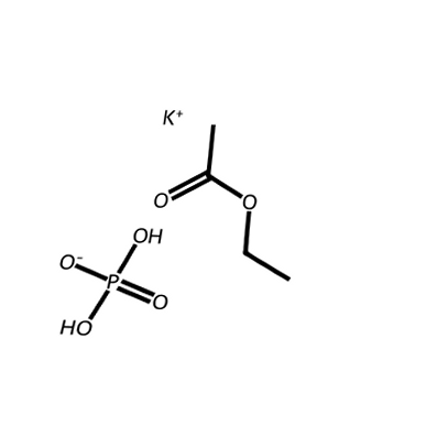 CCOC(C)=O.O=P([O-])(O)O.[K+]